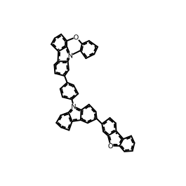 c1ccc2c(c1)Oc1cccc3c4ccc(-c5ccc(-n6c7ccccc7c7cc(-c8ccc9c(c8)oc8ccccc89)ccc76)cc5)cc4n-2c13